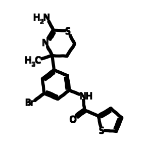 CC1(c2cc(Br)cc(NC(=O)c3cccs3)c2)CCSC(N)=N1